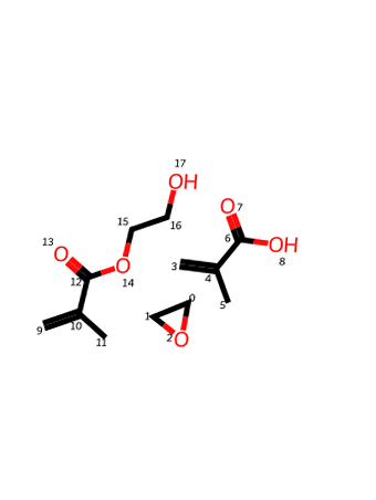 C1CO1.C=C(C)C(=O)O.C=C(C)C(=O)OCCO